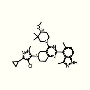 CO[C@H]1CCN(c2nc(-c3c(C)ccc4[nH]nc(C)c34)nc3c2CN(c2c(Cl)c(C4CC4)nn2C)CC3)CC1(C)C